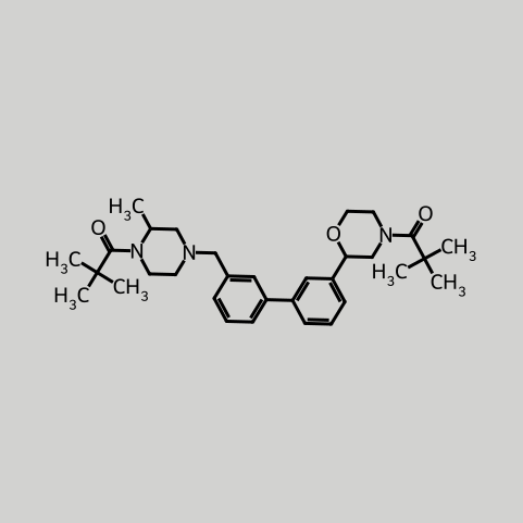 CC1CN(Cc2cccc(-c3cccc(C4CN(C(=O)C(C)(C)C)CCO4)c3)c2)CCN1C(=O)C(C)(C)C